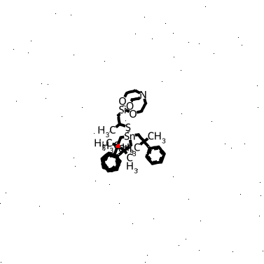 CC(C[Si]12OCCN(CCO1)CCO2)[S][Sn]([CH2]C(C)(C)c1ccccc1)([CH2]C(C)(C)c1ccccc1)[CH2]C(C)(C)c1ccccc1